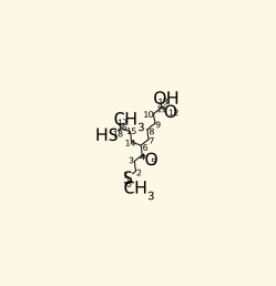 CSCCC(=O)C(CCCCC(=O)O)CCC(C)S